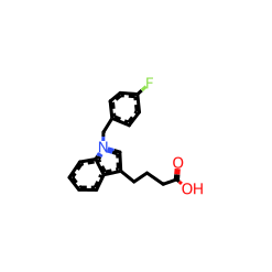 O=C(O)CCCc1cn(Cc2ccc(F)cc2)c2ccccc12